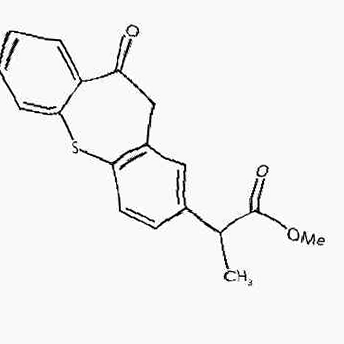 COC(=O)C(C)c1ccc2c(c1)CC(=O)c1ccccc1S2